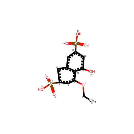 CCOc1cc(S(=O)(=O)O)cc2cc(S(=O)(=O)O)cc(O)c12